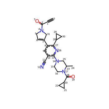 C#CC(=O)N1CC=C(c2cc(C#N)c(N3CCN(C(=O)C4CC4)C(C)C3)nc2C2CC2)C1